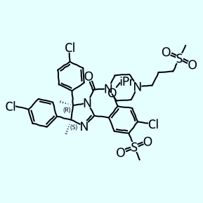 CC(C)Oc1cc(Cl)c(S(C)(=O)=O)cc1C1=N[C@@](C)(c2ccc(Cl)cc2)[C@@](C)(c2ccc(Cl)cc2)N1C(=O)N1CCN(CCCS(C)(=O)=O)CC1